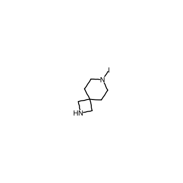 IN1CCC2(CC1)CNC2